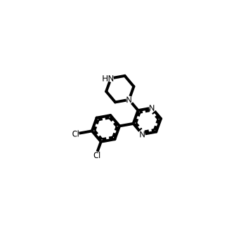 Clc1ccc(-c2nccnc2N2CCNCC2)cc1Cl